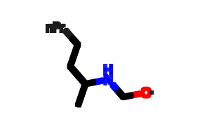 CCCCCC(C)NC[O]